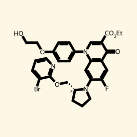 CCOC(=O)c1cn(-c2ccc(OCCO)cc2)c2cc(N3CCC[C@@H]3COc3ncccc3Br)c(F)cc2c1=O